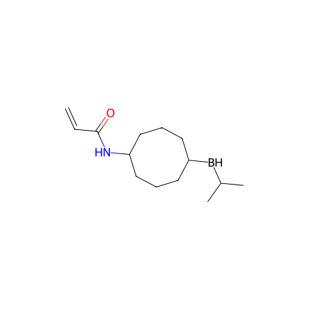 C=CC(=O)NC1CCCC(BC(C)C)CCC1